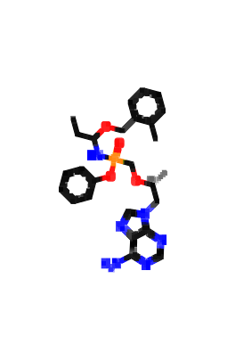 CCC(NP(=O)(CO[C@H](C)Cn1cnc2c(N)ncnc21)Oc1ccccc1)OCc1ccccc1C